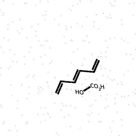 C=CC=CC=C.O=C(O)O